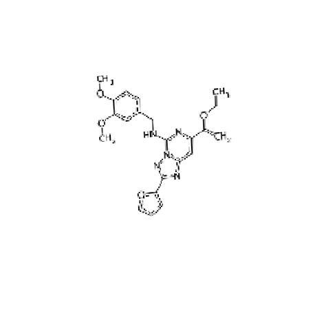 C=C(OCC)c1cc2nc(-c3ccco3)nn2c(NCc2ccc(OC)c(OC)c2)n1